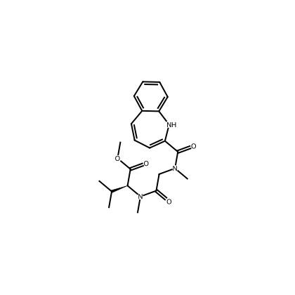 COC(=O)[C@H](C(C)C)N(C)C(=O)CN(C)C(=O)C1=CC=Cc2ccccc2N1